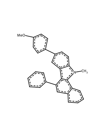 COc1ccc(-c2ccc3c(c2)c2c(-c4ccccc4)cc4ccccc4c2n3C)cc1